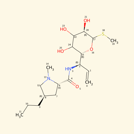 C=C[C@@H](NC(=O)[C@@H]1C[C@@H](CCC)CN1C)[C@H]1OC(SC)[C@H](O)C(O)C1O